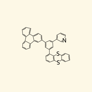 c1cncc(-c2cc(-c3ccc4c5ccccc5c5ccccc5c4c3)cc(-c3cccc4c3Sc3ccccc3S4)c2)c1